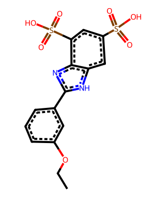 CCOc1cccc(-c2nc3c(S(=O)(=O)O)cc(S(=O)(=O)O)cc3[nH]2)c1